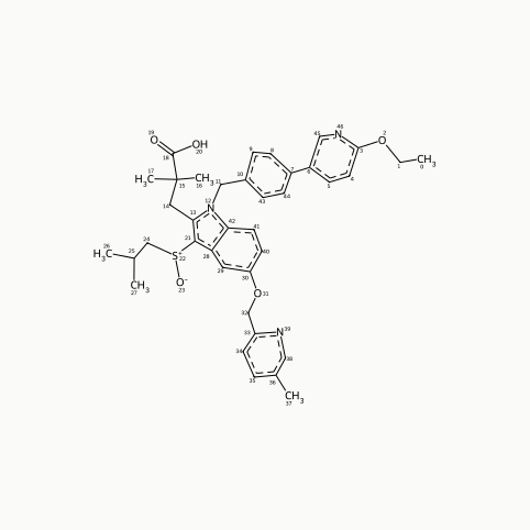 CCOc1ccc(-c2ccc(Cn3c(CC(C)(C)C(=O)O)c([S+]([O-])CC(C)C)c4cc(OCc5ccc(C)cn5)ccc43)cc2)cn1